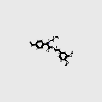 CCc1ccc(/C(=N/COC)C(=O)NCCc2ccc(OC)c(OC)c2)cc1